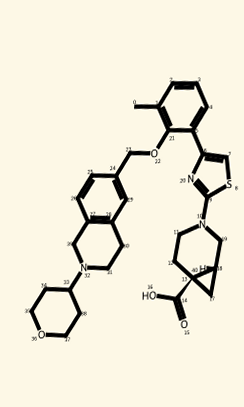 Cc1cccc(-c2csc(N3CC[C@@]4(C(=O)O)C[C@H]4C3)n2)c1OCc1ccc2c(c1)CCN(C1CCOCC1)C2